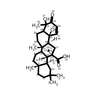 CC1(C)CC[C@]2(C)CC[C@]3(C=O)[C@H](C(C(=O)O)C[C@@H]4[C@@]5(C)C=CC(=O)C(C)(C)C5CC[C@]43C)[C@H]2C1